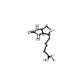 CSC(=O)CCCCC1SCC2NC(=O)NC21